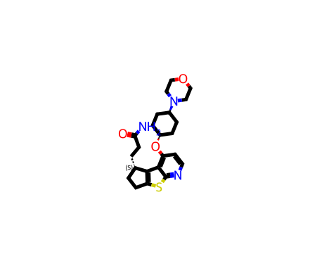 NC(=O)CC[C@H]1CCc2sc3nccc(O[C@H]4CC[C@H](N5CCOCC5)CC4)c3c21